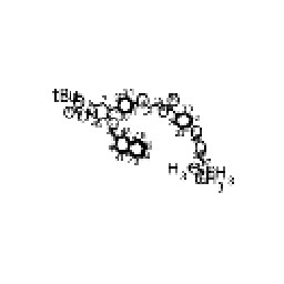 CC(C)(C)OC(=O)ON1CCC(c2ccc(OCCOC(=O)c3ccc(OCOCC[Si](C)(C)C)cc3)cc2)C(OCc2ccc3ccccc3c2)C1